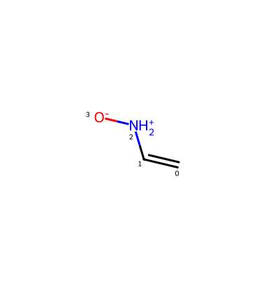 C=C[NH2+][O-]